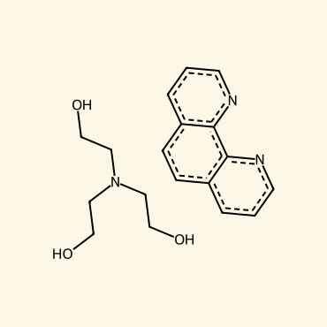 OCCN(CCO)CCO.c1cnc2c(c1)ccc1cccnc12